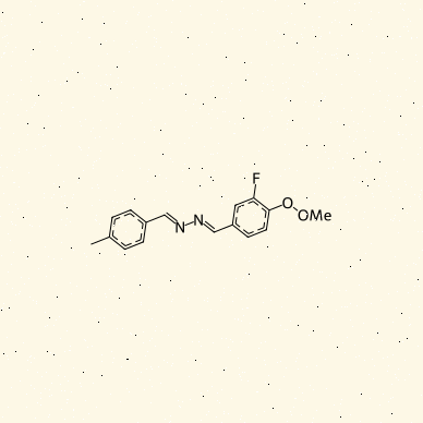 COOc1ccc(/C=N/N=C/c2ccc(C)cc2)cc1F